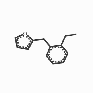 [CH2]Cc1ccccc1Cc1ccco1